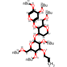 C=CCOC1C(OCCCC)C(COCCCC)OC(OC2CCOC(COCCCC)C2OC2=CC(OCCCC)C(OCCCC)=CO2)C1OCCCC